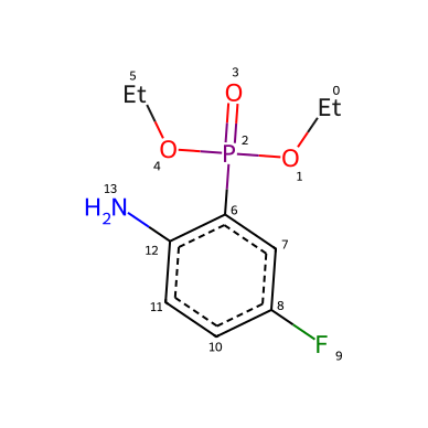 CCOP(=O)(OCC)c1cc(F)ccc1N